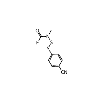 CN(SSc1ccc(C#N)cc1)C(=O)F